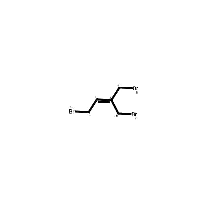 BrCC=C(CBr)CBr